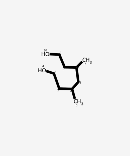 CC(CCO)CC(C)CCO